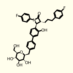 O=C1[C@H](CCCc2ccc(F)cc2)[C@@H](c2ccc(-c3ccc(C[C@@H]4O[C@H](CO)[C@@H](O)[C@H](O)[C@H]4O)cc3)cc2O)N1c1ccc(F)cc1